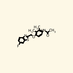 CC(=O)Nc1ccc(OCc2nc3ccc(F)cc3s2)c(C)c1C